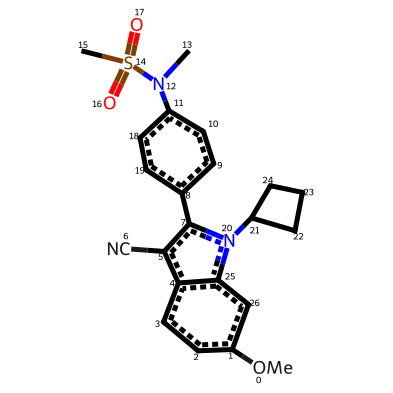 COc1ccc2c(C#N)c(-c3ccc(N(C)S(C)(=O)=O)cc3)n(C3CCC3)c2c1